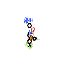 CC12CC=C(C(F)(C(F)(F)F)C(F)(F)F)C=C1CC[C@@H]1N(C(=O)[C@H]3CC[C@H](c4nnn[nH]4)CC3)CC[C@@]12S(=O)(=O)c1ccc(F)cc1